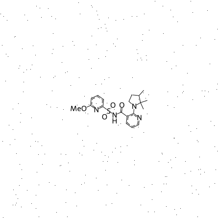 COc1cccc(S(=O)(=O)NC(=O)c2cccnc2N2CCC(C)C2(C)C)n1